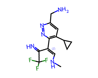 CN/C=C(\C(=N)C(F)(F)F)c1nnc(CN)cc1C1CC1